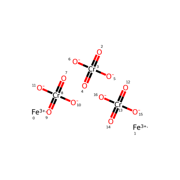 [Fe+3].[Fe+3].[O]=[Cr](=[O])([O-])[O-].[O]=[Cr](=[O])([O-])[O-].[O]=[Cr](=[O])([O-])[O-]